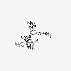 CNCCOc1cc(Nc2cc(NC3CC3)c3ncc(C#N)n3n2)cc(-n2cncn2)c1